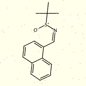 CC(C)(C)[S+]([O-])/N=C\c1cccc2ccccc12